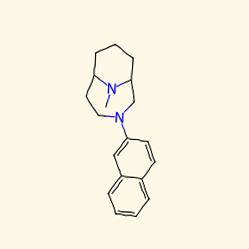 CN1C2CCCC1CN(c1ccc3ccccc3c1)CC2